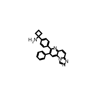 NC1(c2ccc(-c3nc4ccc5nncn5c4cc3-c3ccccc3)cc2)CCC1